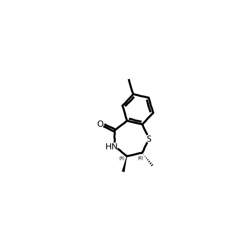 Cc1ccc2c(c1)C(=O)N[C@H](C)[C@@H](C)S2